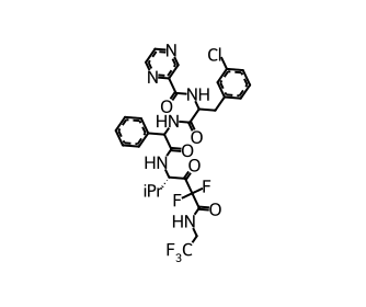 CC(C)[C@H](NC(=O)C(NC(=O)C(Cc1cccc(Cl)c1)NC(=O)c1cnccn1)c1ccccc1)C(=O)C(F)(F)C(=O)NCC(F)(F)F